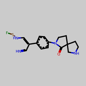 N=C/C(=C\NSF)c1ccc(N2CCC3(CCNC3)C2=O)cc1